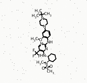 COc1cc(N2CCN(C(C)(C)C)CC2)ccc1Nc1ncc(C(F)(F)F)c(N[C@@H]2CCCC[C@H]2N(C)S(C)(=O)=O)n1